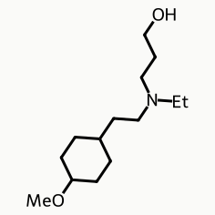 CCN(CCCO)CCC1CCC(OC)CC1